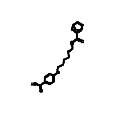 O=C(O)c1ccc(OCCCCCCOC(=O)C2CC3C=CC2C3)cc1